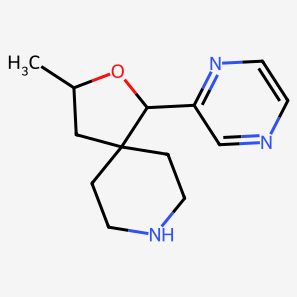 CC1CC2(CCNCC2)C(c2cnccn2)O1